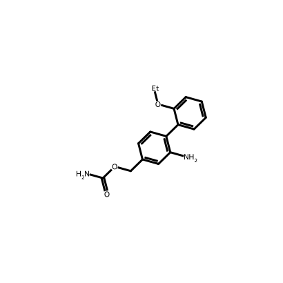 CCOc1ccccc1-c1ccc(COC(N)=O)cc1N